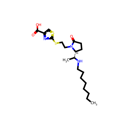 CCCCCCCCNC(C)[C@H]1CCC(=O)N1CCSc1nc(C(=O)O)cs1